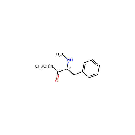 BN[C@@H](Cc1ccccc1)C(=O)N(C)O